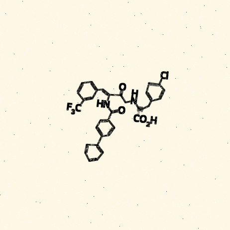 O=C(CN[C@H](Cc1ccc(Cl)cc1)C(=O)O)C(=Cc1cccc(C(F)(F)F)c1)NC(=O)c1ccc(-c2ccccc2)cc1